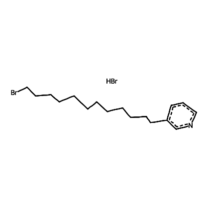 Br.BrCCCCCCCCCCCCc1cccnc1